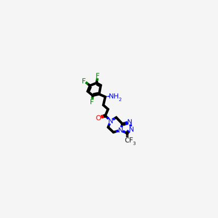 N[C@H](CCC(=O)N1CCn2c(nnc2C(F)(F)F)C1)c1cc(F)c(F)cc1F